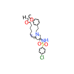 COC(=O)CCC/C=C\[C@@H]1C[C@@H](NS(=O)(=O)c2ccc(Cl)cc2)CN1CCc1ccccc1